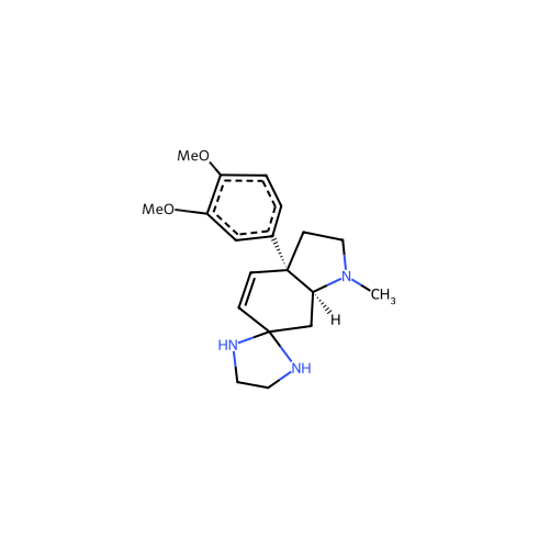 COc1ccc([C@@]23C=CC4(C[C@@H]2N(C)CC3)NCCN4)cc1OC